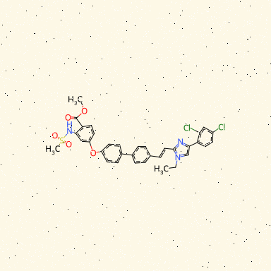 CCn1cc(-c2ccc(Cl)cc2Cl)nc1/C=C/c1ccc(-c2ccc(Oc3ccc(C(=O)OC)c(NS(C)(=O)=O)c3)cc2)cc1